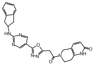 O=C(Cc1nnc(-c2cnc(NC3Cc4ccccc4C3)nc2)o1)N1CCc2[nH]c(=O)ccc2C1